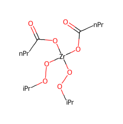 CCCC(=O)[O][Zr]([O]OC(C)C)([O]OC(C)C)[O]C(=O)CCC